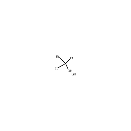 CCC(O)(CC)CC.[LiH]